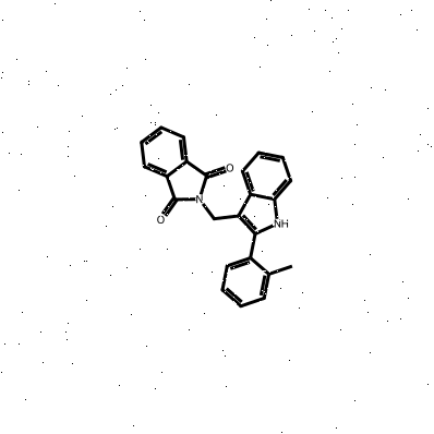 Cc1ccccc1-c1[nH]c2ccccc2c1CN1C(=O)c2ccccc2C1=O